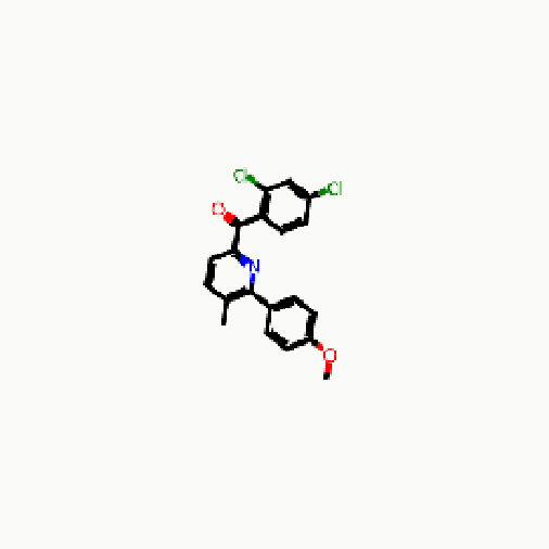 COc1ccc(-c2nc(C(=O)c3ccc(Cl)cc3Cl)ccc2C)cc1